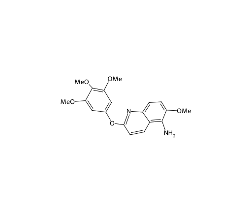 COc1cc(Oc2ccc3c(N)c(OC)ccc3n2)cc(OC)c1OC